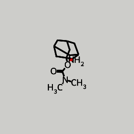 CN(C)C(=O)OC12CC3CC(C1)C(N)C(C3)C2